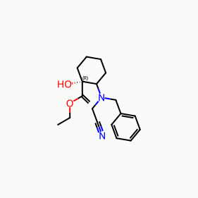 C=C(OCC)[C@@]1(O)CCCCC1N(CC#N)Cc1ccccc1